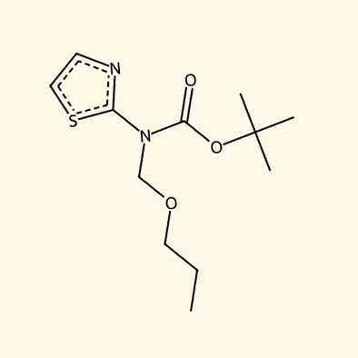 CCCOCN(C(=O)OC(C)(C)C)c1nccs1